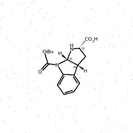 CC(C)COC(=O)N1c2ccccc2[C@H]2C[C@@H](C(=O)O)N[C@H]21